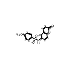 COc1ccc(S(=O)(=O)Nc2ccc3oc(=O)ccc3c2)cc1